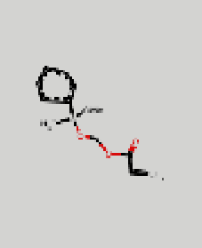 C=CC(=O)OCO[Si](C)(OC)c1ccccc1